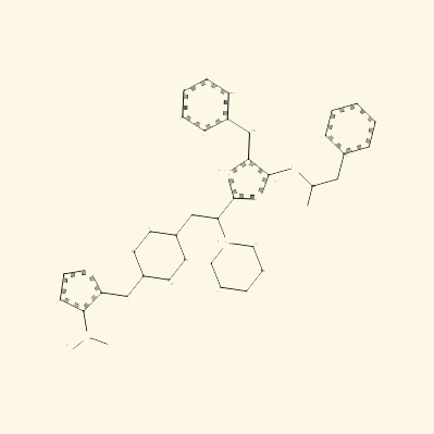 CC(Cc1ccccc1)Nc1oc(C(CC2CCC(Cc3sccc3N(C)C)CC2)N2CCCCC2)nc1Cc1ccccc1